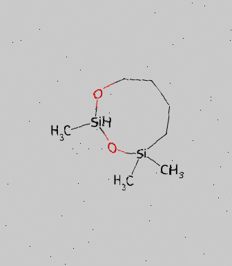 C[SiH]1OCCCC[Si](C)(C)O1